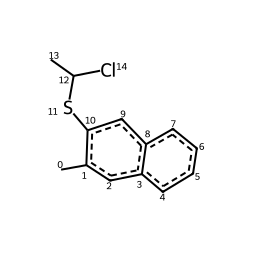 Cc1cc2ccccc2cc1SC(C)Cl